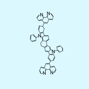 C1=CC(c2cc3cccnc3c3ncccc23)Cc2c1n(-c1ccccc1)c1c3c(ccc21)-c1cc2c(cc1CC3)c1cc(-c3cc4cccnc4c4ncccc34)ccc1n2-c1ccccc1